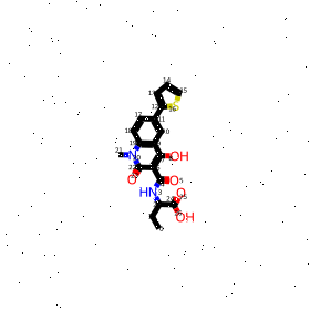 CCC(NC(=O)c1c(O)c2cc(-c3cccs3)ccc2n(C)c1=O)C(=O)O